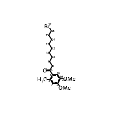 COc1cc(C)c(C(=O)CCCCCCCCCBr)cc1OC